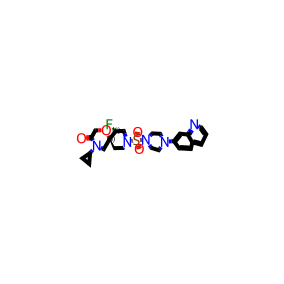 O=C1CO[C@@]2(CCN(S(=O)(=O)N3CCN(c4ccc5cccnc5c4)CC3)C[C@@H]2F)CN1C1CC1